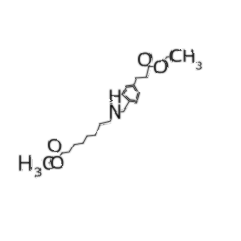 CCOC(=O)CCc1ccc(CNCCCCCCCC(=O)OC)cc1